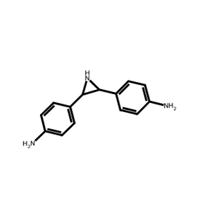 Nc1ccc(C2NC2c2ccc(N)cc2)cc1